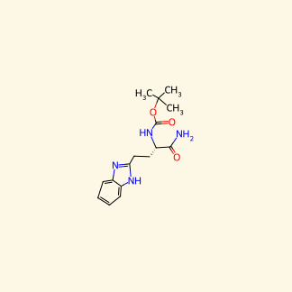 CC(C)(C)OC(=O)N[C@@H](CCc1nc2ccccc2[nH]1)C(N)=O